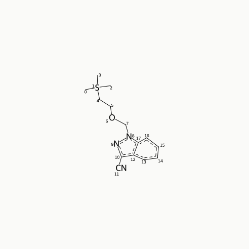 CS(C)(C)CCOCn1nc(C#N)c2ccccc21